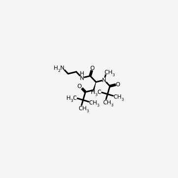 CN(C(=O)C(C)(C)C)[C@@H](CC(=O)C(C)(C)C)C(=O)NCCN